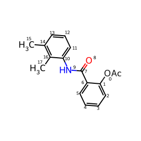 CC(=O)Oc1ccccc1C(=O)Nc1cccc(C)c1C